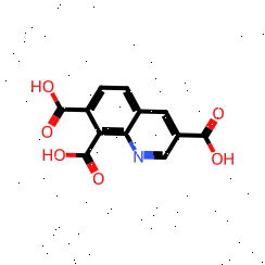 O=C(O)c1cnc2c(C(=O)O)c(C(=O)O)ccc2c1